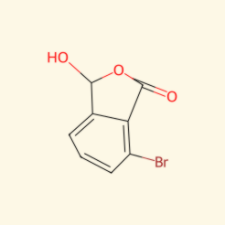 O=C1OC(O)c2cccc(Br)c21